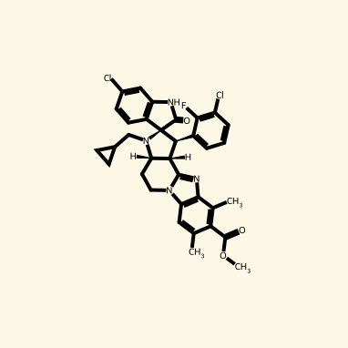 COC(=O)c1c(C)cc2c(nc3n2CC[C@H]2[C@@H]3[C@H](c3cccc(Cl)c3F)[C@]3(C(=O)Nc4cc(Cl)ccc43)N2CC2CC2)c1C